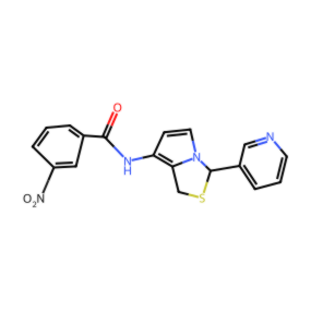 O=C(Nc1ccn2c1CSC2c1cccnc1)c1cccc([N+](=O)[O-])c1